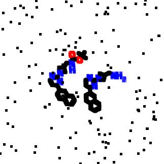 CC(C)(C)OC(=O)NCC1CN(c2nccc(-c3ccc4ccccc4c3)n2)C1.NCC1CN(c2nccc(-c3ccc4ccccc4c3)n2)C1